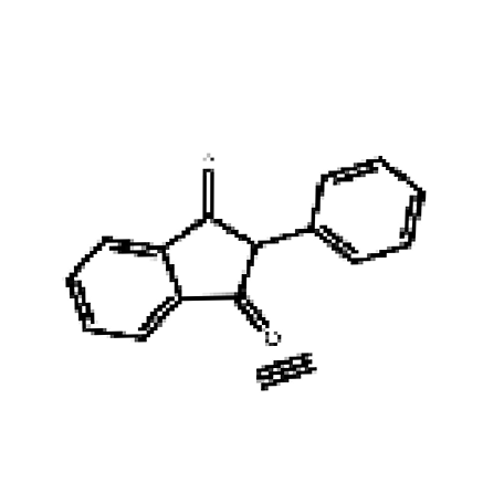 C#C.O=C1c2ccccc2C(=O)C1c1ccccc1